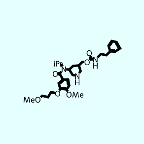 COCCCOc1cc(C(=O)N(C(C)C)C2CNCC(COC(=O)NCCc3ccccc3)C2)ccc1OC